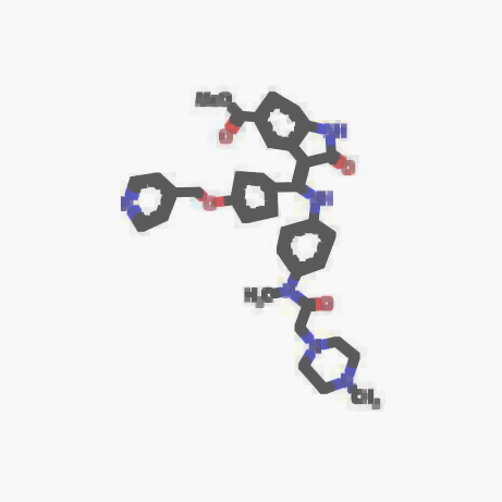 COC(=O)c1ccc2c(c1)/C(=C(/Nc1ccc(N(C)C(=O)CN3CCN(C)CC3)cc1)c1ccc(OCc3ccncc3)cc1)C(=O)N2